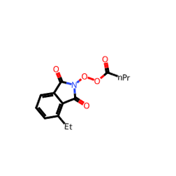 CCCC(=O)OON1C(=O)c2cccc(CC)c2C1=O